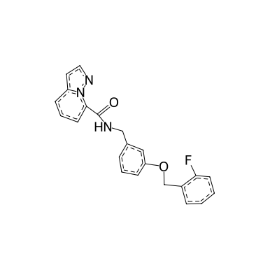 O=C(NCc1cccc(OCc2ccccc2F)c1)c1cccc2ccnn12